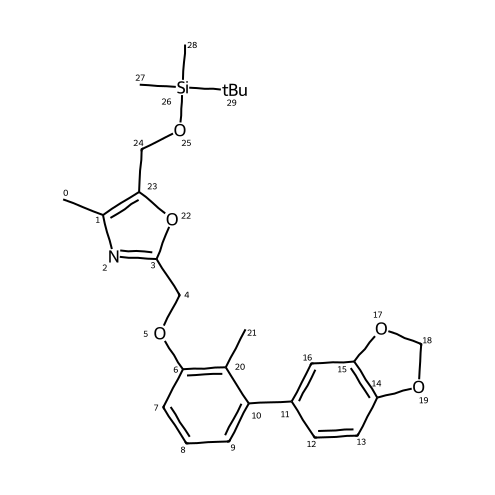 Cc1nc(COc2cccc(-c3ccc4c(c3)OCO4)c2C)oc1CO[Si](C)(C)C(C)(C)C